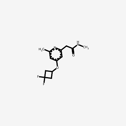 CNC(=O)Cc1cc(OC2CC(F)(F)C2)cc(C)n1